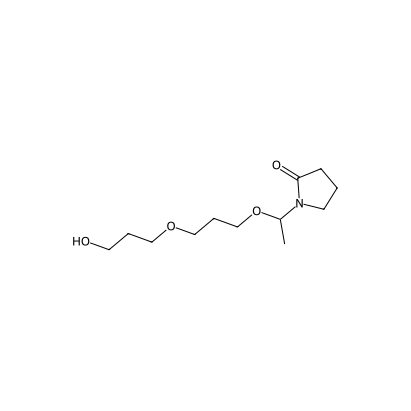 CC(OCCCOCCCO)N1CCCC1=O